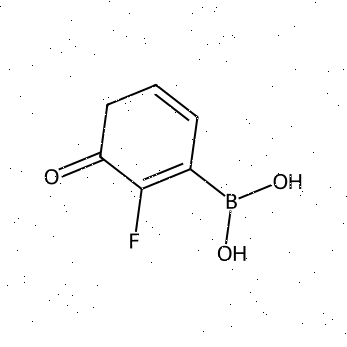 O=C1CC=CC(B(O)O)=C1F